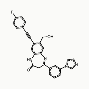 O=C1CC(c2cccc(-n3ccnc3)c2)=Nc2cc(CO)c(C#Cc3ccc(F)cc3)cc2N1